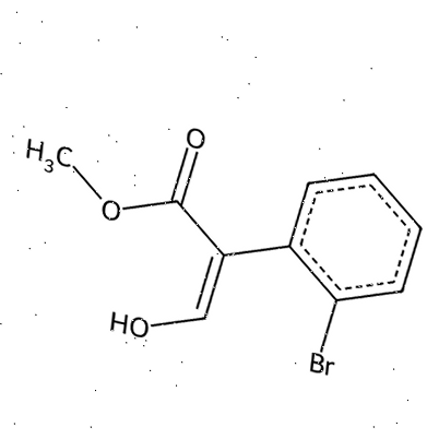 COC(=O)/C(=C\O)c1ccccc1Br